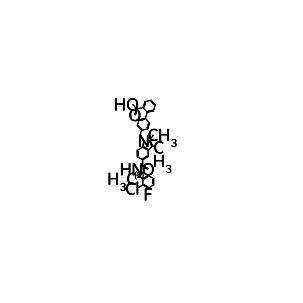 Cc1c(C)n(Cc2ccc(-c3ccccc3C(=O)O)cc2)c2ccc(C(=O)N[C@@H](C)c3cccc(F)c3Cl)cc12